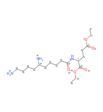 CCOC(=O)CCC(NC(=O)CCCCC(N)CCCCN)C(=O)OCC